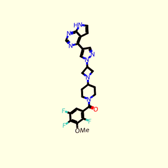 COc1c(F)c(F)cc(C(=O)N2CCC(N3C[C](n4cc(-c5ncnc6[nH]ccc56)cn4)C3)CC2)c1F